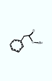 CCCCOC([O])Cc1ccccc1